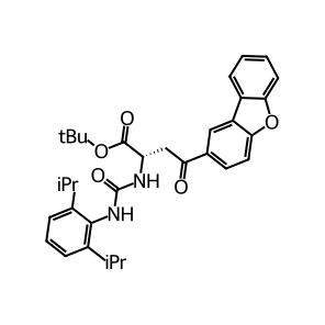 CC(C)c1cccc(C(C)C)c1NC(=O)N[C@@H](CC(=O)c1ccc2oc3ccccc3c2c1)C(=O)OC(C)(C)C